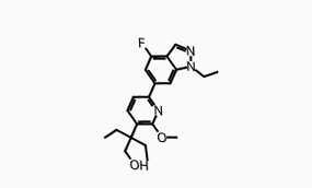 CCn1ncc2c(F)cc(-c3ccc(C(CC)(CC)CO)c(OC)n3)cc21